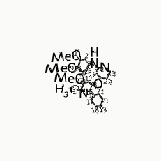 COc1cc(Nc2cc(Oc3ccc(C)nc3-c3ccccc3)ccn2)cc(OC)c1OC